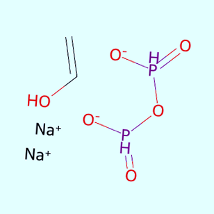 C=CO.O=[PH]([O-])O[PH](=O)[O-].[Na+].[Na+]